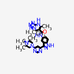 CC1=C(C(=O)Nc2ccc3[nH]nc(-c4cc(N5C[C@@H](C)N(C)[C@@H](C)C5)ncn4)c3c2)C(C)(C)n2nnnc2N1